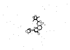 Cc1noc(C)c1C(=O)CN1c2nc(N3CC4CC3CO4)cc(=O)n2CC[C@H]1C(F)(F)F